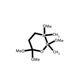 COC1(OC)CC[Si](C)(OC)[Si](C)(OC)O1